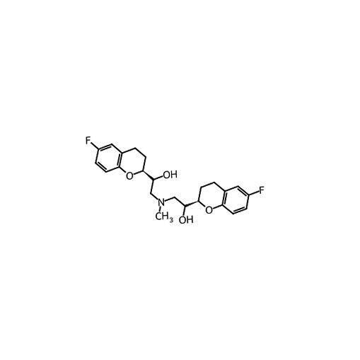 CN(CC(O)[C@@H]1CCc2cc(F)ccc2O1)CC(O)[C@H]1CCc2cc(F)ccc2O1